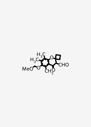 COCOc1c(C)c(C)c2c(c1C)C(=O)C(C=O)C1(CCC1)O2